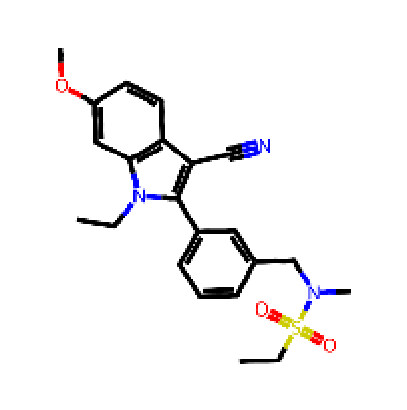 CCn1c(-c2cccc(CN(C)S(=O)(=O)CC)c2)c(C#N)c2ccc(OC)cc21